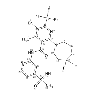 Cc1c(Br)c(C(F)(F)F)nc(N2CCCC(F)(F)CC2)c1C(=O)Nc1cccc(S(C)(=N)=O)c1